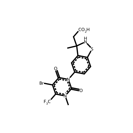 Cn1c(C(F)(F)F)c(Br)c(=O)n(-c2ccc3c(c2)C(C)(CC(=O)O)NS3)c1=O